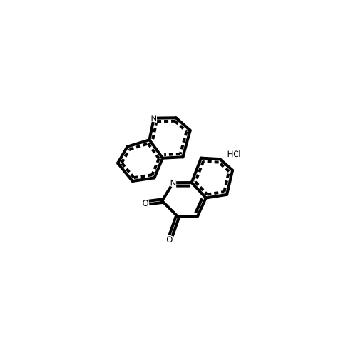 Cl.O=C1C=c2ccccc2=NC1=O.c1ccc2ncccc2c1